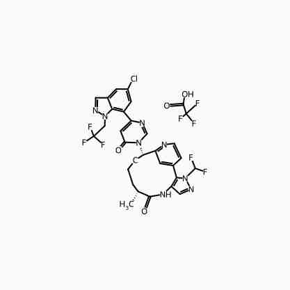 C[C@@H]1CCC[C@H](n2cnc(-c3cc(Cl)cc4cnn(CC(F)(F)F)c34)cc2=O)c2cc(ccn2)-c2c(cnn2C(F)F)NC1=O.O=C(O)C(F)(F)F